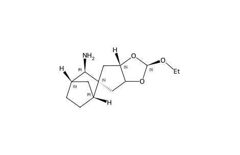 CCO[C@H]1OC2C[C@]3(C[C@@H]2O1)[C@@H]1CC[C@@H](C1)[C@H]3N